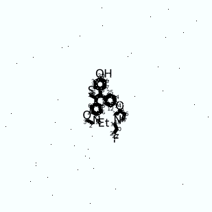 CCN1CCOc2cc(C3=C(c4ccc(O[C@H]5CCN(CCCF)C5)cc4)c4ccc(O)cc4SC3)ccc21